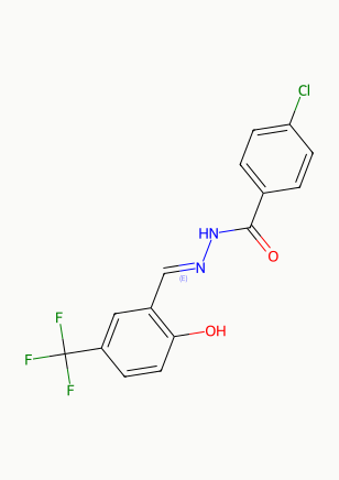 O=C(N/N=C/c1cc(C(F)(F)F)ccc1O)c1ccc(Cl)cc1